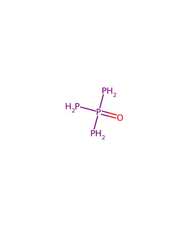 O=P(P)(P)P